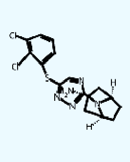 N[C@@H]1C[C@H]2CC[C@@H](C1)N2c1ncc(Sc2cccc(Cl)c2Cl)nn1